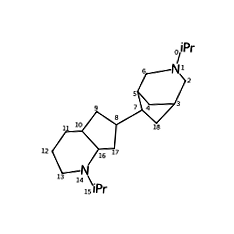 CC(C)N1CC2CC(C1)C(C1CC3CCCN(C(C)C)C3C1)C2